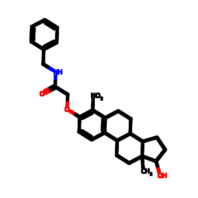 CC12CCC3c4ccc(OCC(=O)NCc5ccccc5)c([N+](=O)[O-])c4CCC3C1CCC2O